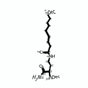 CCCCCCCCCCCCCCCCCC(=O)NCCC(CCCCCCCCCC)C(N)=O